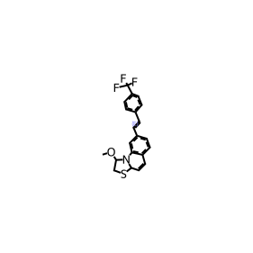 COC1CSC2C=Cc3ccc(/C=C/c4ccc(C(F)(F)F)cc4)cc3N12